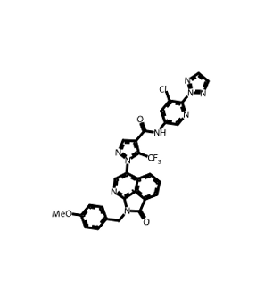 COc1ccc(CN2C(=O)c3cccc4c(-n5ncc(C(=O)Nc6cnc(-n7nccn7)c(Cl)c6)c5C(F)(F)F)cnc2c34)cc1